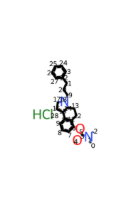 CN(C)C(=O)Oc1cccc2c1CCC1C2CCN1CCCc1ccccc1.Cl